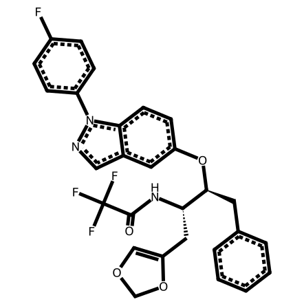 O=C(N[C@@H](CC1=COCO1)[C@H](Cc1ccccc1)Oc1ccc2c(cnn2-c2ccc(F)cc2)c1)C(F)(F)F